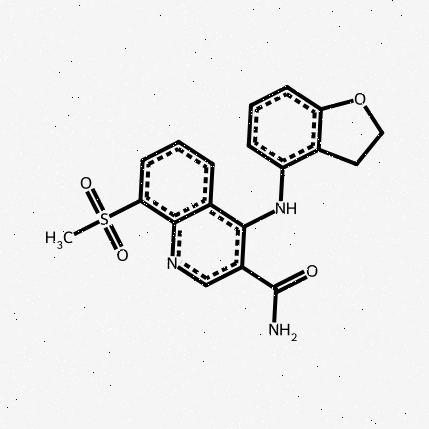 CS(=O)(=O)c1cccc2c(Nc3cccc4c3CCO4)c(C(N)=O)cnc12